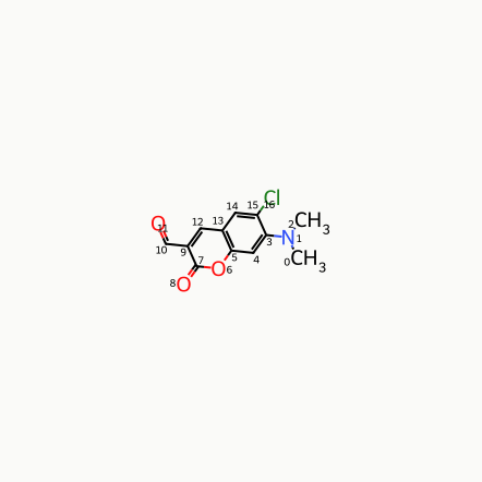 CN(C)c1cc2oc(=O)c(C=O)cc2cc1Cl